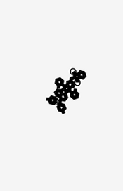 Cc1ccc(N(c2ccc(C)cc2)c2ccc3c4c(cccc24)-c2c-3c(-c3ccccc3C)c3ccc(C=C4C(=O)c5ccccc5C4=O)cc3c2-c2ccccc2C)cc1